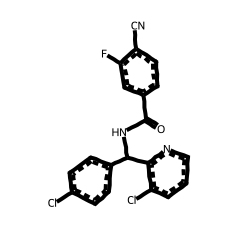 N#Cc1ccc(C(=O)NC(c2ccc(Cl)cc2)c2ncccc2Cl)cc1F